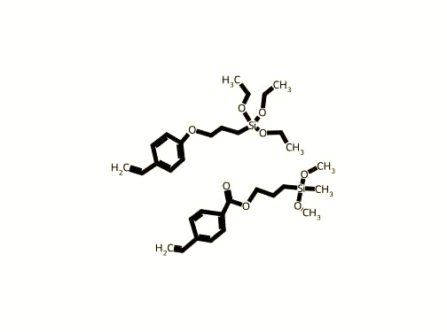 C=Cc1ccc(C(=O)OCCC[Si](C)(OC)OC)cc1.C=Cc1ccc(OCCC[Si](OCC)(OCC)OCC)cc1